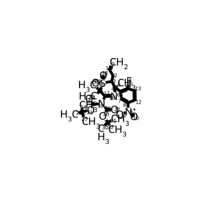 C=CCC1[C@@](C)(c2cc([N+](=O)[O-])ccc2F)N=C(N(C(=O)OC(C)(C)C)C(=O)OC(C)(C)C)C(C)(C)S1(=O)=O